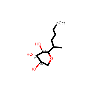 CCCCCCCCCCCC(C)C1OC[C@@H](O)[C@H](O)[C@H]1O